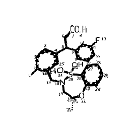 Cc1ccc(C(CC(=O)O)c2cccc(F)c2)cc1CN1C[C@@H](C)Oc2ccccc2S1(O)O